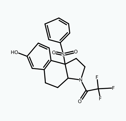 O=C(N1CCC2(S(=O)(=O)c3ccccc3)c3ccc(O)cc3CCC12)C(F)(F)F